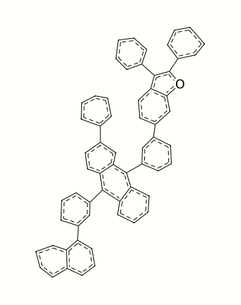 c1ccc(-c2ccc3c(-c4cccc(-c5cccc6ccccc56)c4)c4ccccc4c(-c4cccc(-c5ccc6c(-c7ccccc7)c(-c7ccccc7)oc6c5)c4)c3c2)cc1